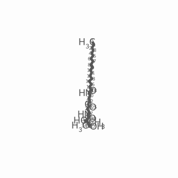 CCCCCCCCC=CCCCCCCCC(=O)NCCCOC(=O)CCNC(=O)C(O)C(C)(C)CO